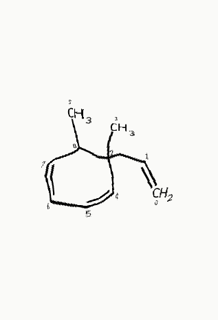 C=CC1(C)C=CC=CC1C